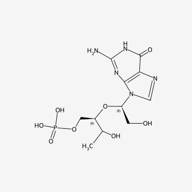 CC(O)[C@@H](COP(=O)(O)O)O[C@H](CO)n1cnc2c(=O)[nH]c(N)nc21